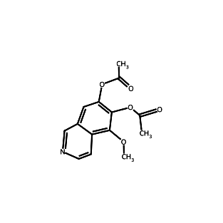 COc1c(OC(C)=O)c(OC(C)=O)cc2cnccc12